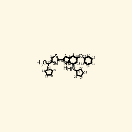 CC(C1CSC(c2cc3cc(Oc4ccccc4)cc(NC4CCCC4)c3[nH]2)=N1)N1CCCC1